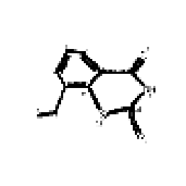 CCc1cccc2c(=O)[nH]c(=O)sc12